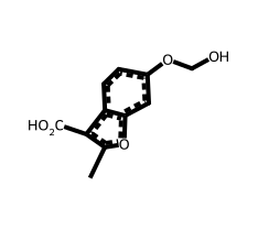 Cc1oc2cc(OCO)ccc2c1C(=O)O